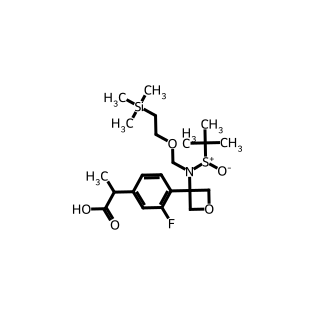 CC(C(=O)O)c1ccc(C2(N(COCC[Si](C)(C)C)[S+]([O-])C(C)(C)C)COC2)c(F)c1